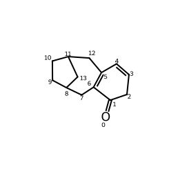 O=C1CC=CC2=C1CC1CCC(C2)C1